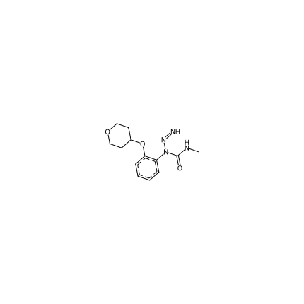 CNC(=O)N(N=N)c1ccccc1OC1CCOCC1